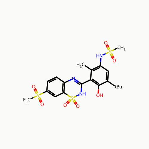 Cc1c(NS(C)(=O)=O)cc(C(C)(C)C)c(O)c1C1=Nc2ccc(S(=O)(=O)C(F)(F)F)cc2S(=O)(=O)N1